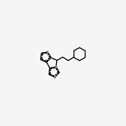 c1cc2c(s1)C(CCC1CCCCC1)n1cncc1-2